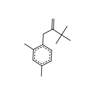 C=C(Cc1ccc(C)cc1C)C(C)(C)C